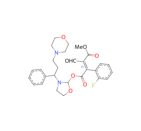 COC(=O)/C(C=O)=C(/C(=O)OC1OCCN1C(CCN1CCOCC1)c1ccccc1)c1ccccc1F